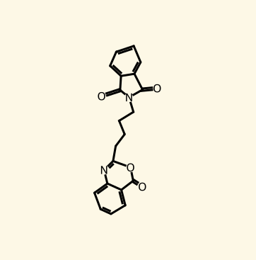 O=C1c2ccccc2C(=O)N1CCCCc1nc2ccccc2c(=O)o1